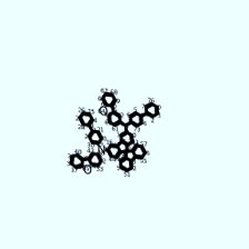 c1ccc(-c2ccc(C(c3ccc4c(c3)-c3cc(N(c5ccc(-c6ccccc6)cc5)c5ccc6oc7ccccc7c6c5)ccc3C43c4ccccc4-c4ccccc43)c3ccc4oc5ccccc5c4c3)cc2)cc1